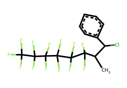 CC(C(Cl)c1ccccc1)C(F)(F)C(F)(F)C(F)(F)C(F)(F)C(F)(F)C(F)(F)F